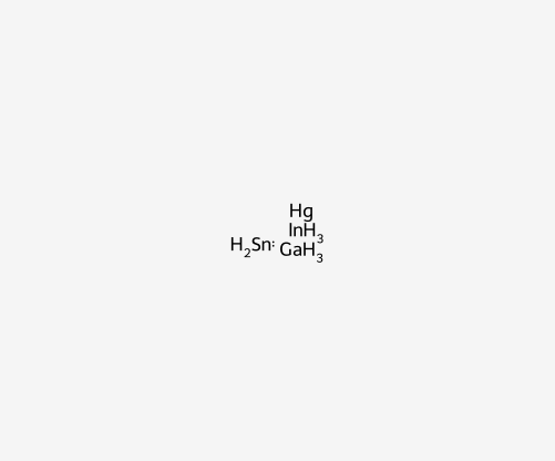 [GaH3].[Hg].[InH3].[SnH2]